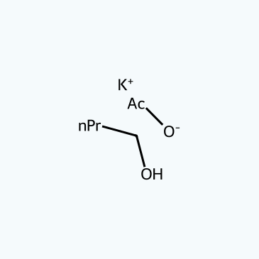 CC(=O)[O-].CCCCO.[K+]